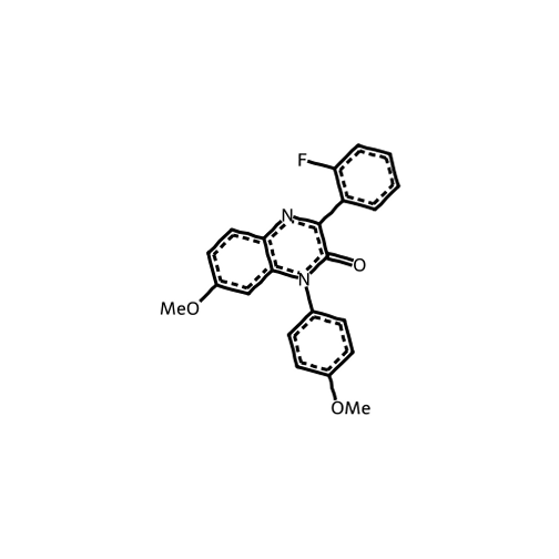 COc1ccc(-n2c(=O)c(-c3ccccc3F)nc3ccc(OC)cc32)cc1